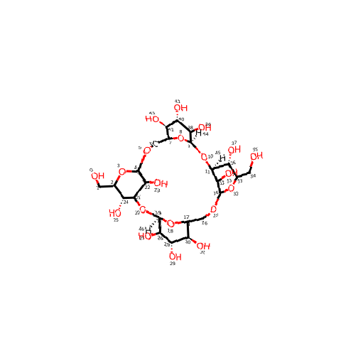 OCC1OC2OCC3O[C@H](O[C@@H]4C(O)C(OCC5O[C@H](OC(C2O)[C@@H]1O)C(O)[C@@H](O)[C@@H]5O)OC(CO)[C@H]4O)C(O)[C@@H](O)[C@@H]3O